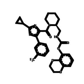 O=C(NC[C@@H]1CCCCN1C(=O)c1nc(C2CC2)sc1-c1cccc(C(F)(F)F)c1)Oc1cccc2c1OCCO2